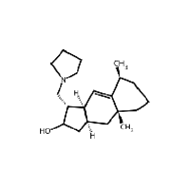 C[C@H]1CCC[C@]2(C)C[C@H]3CC(O)[C@H](CN4CCCC4)[C@H]3C=C12